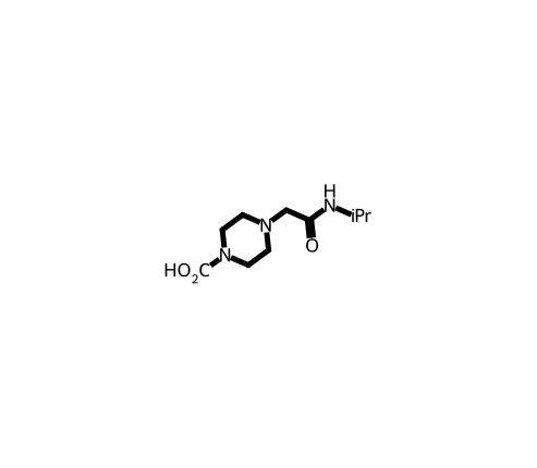 CC(C)NC(=O)CN1CCN(C(=O)O)CC1